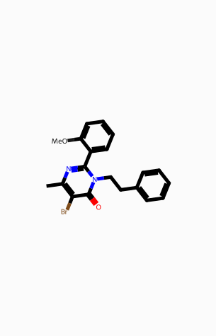 COc1ccccc1-c1nc(C)c(Br)c(=O)n1CCc1ccccc1